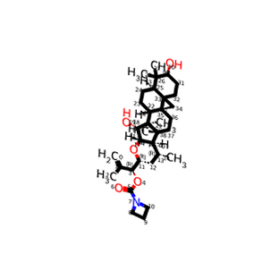 C=C(C)[C@@H](OC(=O)N1CCC1)[C@H]1C[C@@H](C)[C@H]2[C@H](O1)[C@H](O)[C@@]1(C)[C@@H]3CC[C@H]4C(C)(C)[C@@H](O)CCC45C[C@@]35CC[C@]21C